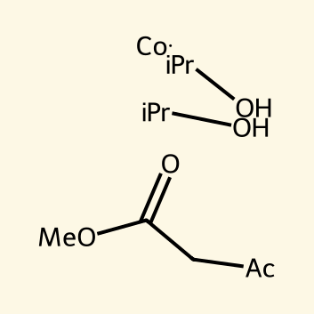 CC(C)O.CC(C)O.COC(=O)CC(C)=O.[Co]